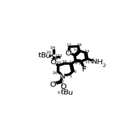 CC(C)(C)OC(=O)N1CC=C(c2c(F)c(N)cc3c2OCC3)CC(O[Si](C)(C)C(C)(C)C)C1